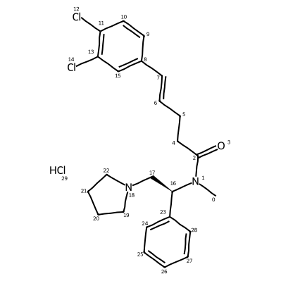 CN(C(=O)CCC=Cc1ccc(Cl)c(Cl)c1)[C@H](CN1CCCC1)c1ccccc1.Cl